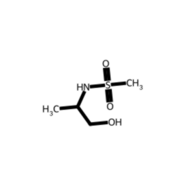 CC(CO)NS(C)(=O)=O